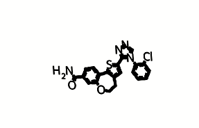 NC(=O)c1ccc2c(c1)OCCc1cc(-c3nncn3-c3ccccc3Cl)sc1-2